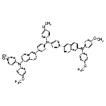 COc1ccc(N(c2ccc(-c3ccc4cc(N(c5ccc(OC)cc5)c5ccc(OC)cc5)ccc4c3)cc2)c2ccc(-c3ccc4cc(N(c5ccc(OC)cc5)c5ccc(OC)cc5)ccc4c3)cc2)cc1